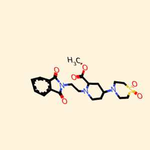 COC(=O)C1CC(N2CCS(=O)(=O)CC2)CCN1CCN1C(=O)c2ccccc2C1=O